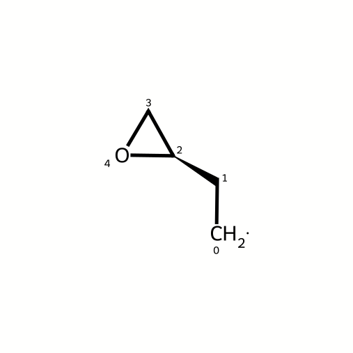 [CH2]C[C@@H]1CO1